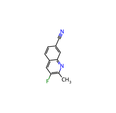 Cc1nc2cc(C#N)ccc2cc1F